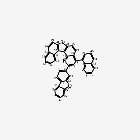 c1ccc2c(-c3cc(-c4ccc5c(c4)oc4ccccc45)nc4c3ccc3sc5ccc6ccccc6c5c34)cccc2c1